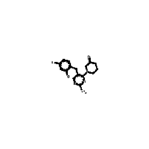 CCc1ccc(Cc2cnc(N)nc2N2CCCC(=O)C2)c(Cl)c1